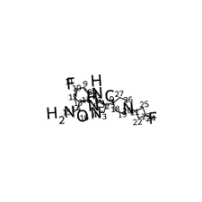 CC1(c2cnn3c2[nH]c2cc(F)cc(C(N)=O)c23)CCN(C2CC(F)C2)CC1